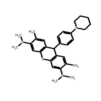 Cc1cc2c(cc1N(C)C)Sc1cc(N(C)C)c(C)cc1C2c1ccc(N2CCCCC2)cc1